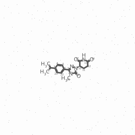 CC(C)c1ccc(-c2nn([C@@H]3CCC(=O)NC3=O)c(=O)n2C)cc1